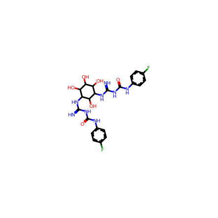 N=C(NC(=O)Nc1ccc(F)cc1)NC1C(O)C(O)C(O)C(NC(=N)NC(=O)Nc2ccc(F)cc2)C1O